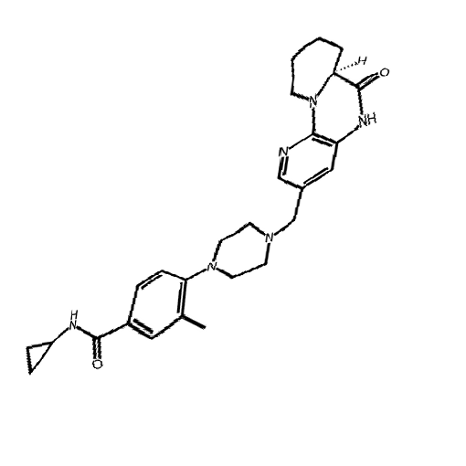 Cc1cc(C(=O)NC2CC2)ccc1N1CCN(Cc2cnc3c(c2)NC(=O)[C@@H]2CCCCN32)CC1